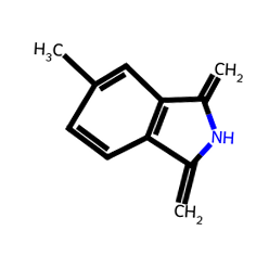 C=c1[nH]c(=C)c2cc(C)ccc12